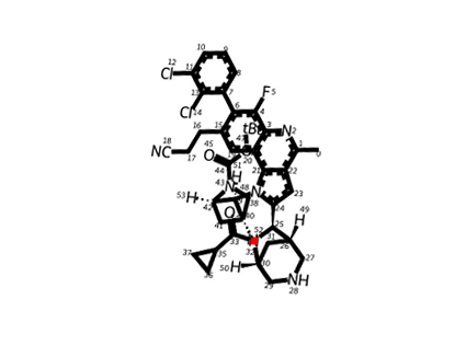 Cc1nc2c(F)c(-c3cccc(Cl)c3Cl)c(CCC#N)cc2c2c1cc([C@H]1[C@@H]3CNC[C@@H](C3)N1C(=O)C1CC1)n2[C@H]1[C@@H]2C[C@H]1N(C(=O)OC(C)(C)C)C2